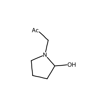 CC(=O)CN1CCCC1O